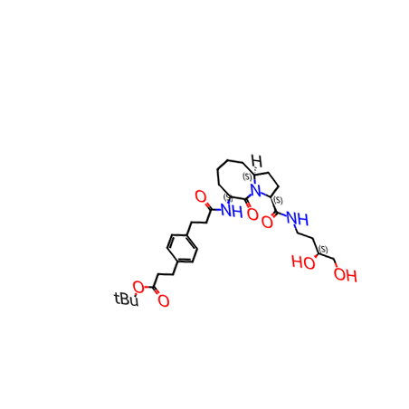 CC(C)(C)OC(=O)CCc1ccc(CCC(=O)N[C@H]2CCCC[C@H]3CC[C@@H](C(=O)NCC[C@H](O)CO)N3C2=O)cc1